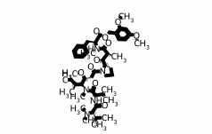 CC[C@H](C)[C@@H]([C@@H](CC(=O)N1CCC[C@H]1[C@H](OC)[C@@H](C)C(=O)N[C@@H](Cc1ccccc1)C(=O)OCc1ccc(OC)cc1OC)OC)N(C)C(=O)[C@@H](NC(=O)[C@H](C(C)C)N(C)C)C(C)C